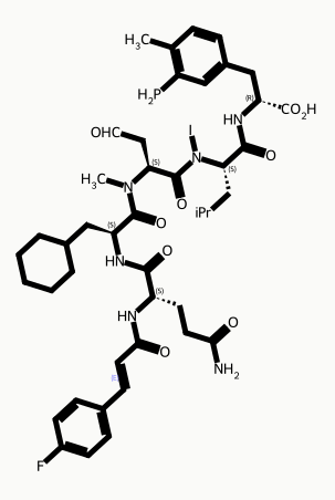 Cc1ccc(C[C@@H](NC(=O)[C@H](CC(C)C)N(I)C(=O)[C@H](CC=O)N(C)C(=O)[C@H](CC2CCCCC2)NC(=O)[C@H](CCC(N)=O)NC(=O)/C=C/c2ccc(F)cc2)C(=O)O)cc1P